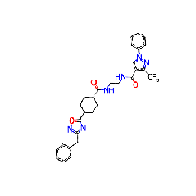 O=C(NCCNC(=O)[C@H]1CC[C@H](c2nc(Cc3ccccc3)no2)CC1)c1cn(-c2ccccc2)nc1C(F)(F)F